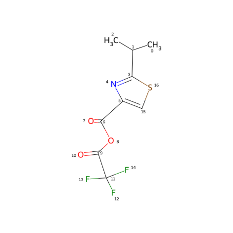 CC(C)c1nc(C(=O)OC(=O)C(F)(F)F)cs1